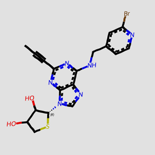 CC#Cc1nc(NCc2ccnc(Br)c2)c2ncn([C@@H]3SCC(O)C3O)c2n1